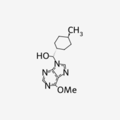 COc1ncnc2c1ncn2C(O)[C@H]1CC[C@H](C)CC1